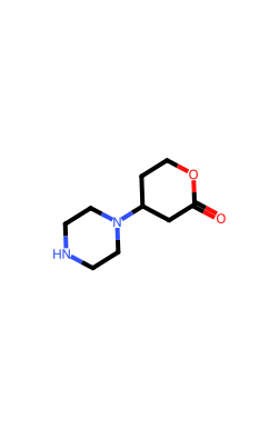 O=C1CC(N2CCNCC2)CCO1